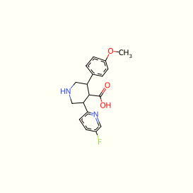 COc1ccc(C2CNCC(c3ccc(F)cn3)C2C(=O)O)cc1